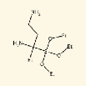 CCO[Si](OCC)(OCC)C(N)(CC)CCN